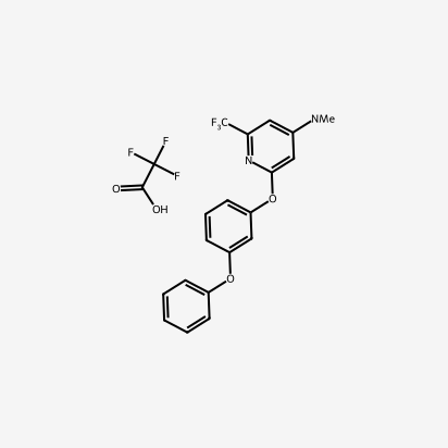 CNc1cc(Oc2cccc(Oc3ccccc3)c2)nc(C(F)(F)F)c1.O=C(O)C(F)(F)F